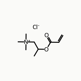 C=CC(=O)OC(C)C[N+](C)(C)C.[Cl-]